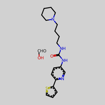 O=C(NCCCCN1CCCCC1)Nc1ccc(-c2cccs2)nc1.O=CO